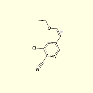 CCO/C=C\c1cnc(C#N)c(Cl)c1